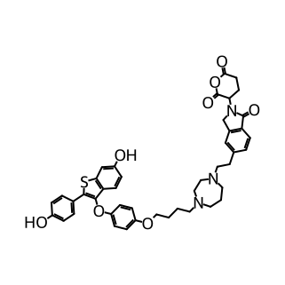 O=C1CCC(N2Cc3cc(CCN4CCCN(CCCCOc5ccc(Oc6c(-c7ccc(O)cc7)sc7cc(O)ccc67)cc5)CC4)ccc3C2=O)C(=O)O1